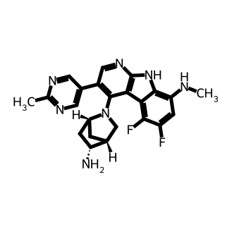 CNc1cc(F)c(F)c2c1[nH]c1ncc(-c3cnc(C)nc3)c(N3C[C@H]4C[C@@H]3C[C@H]4N)c12